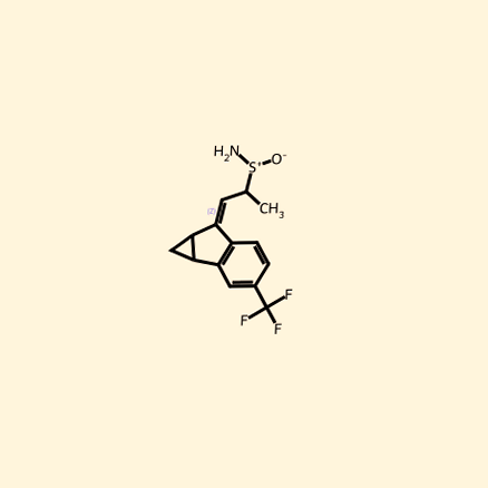 CC(/C=C1\c2ccc(C(F)(F)F)cc2C2CC12)[S+](N)[O-]